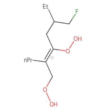 CCC/C(COO)=C(\CC(CC)CF)OO